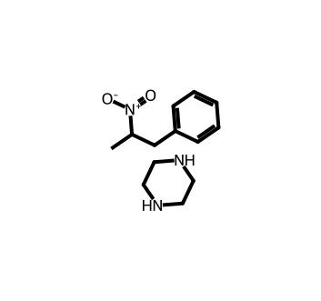 C1CNCCN1.CC(Cc1ccccc1)[N+](=O)[O-]